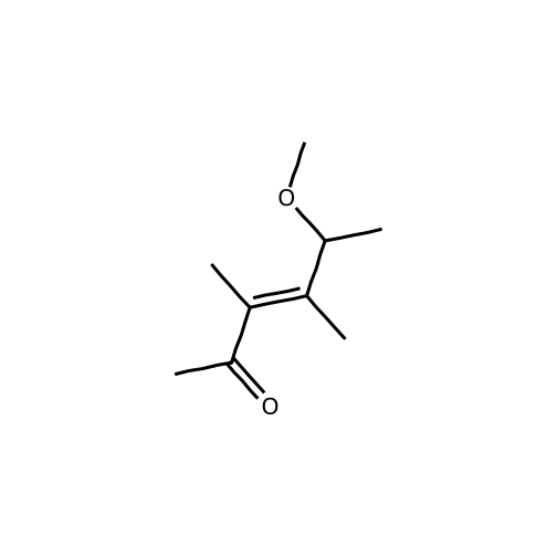 COC(C)/C(C)=C(\C)C(C)=O